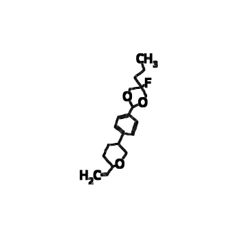 C=CC1CCC(c2ccc(C3OCC(F)(CCC)CO3)cc2)CO1